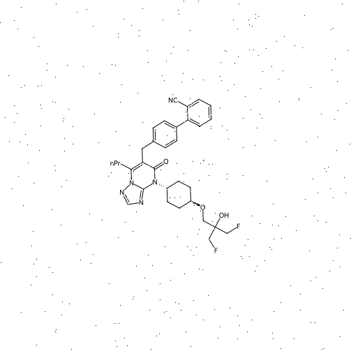 CCCc1c(Cc2ccc(-c3ccccc3C#N)cc2)c(=O)n([C@H]2CC[C@H](OCC(O)(CF)CF)CC2)c2ncnn12